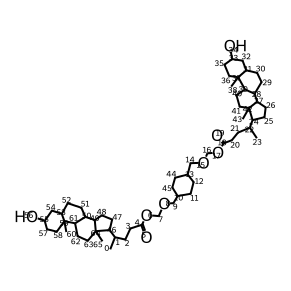 CC(CCC(=O)OCOCC1CCC(COCOC(=O)CCC(C)C2CCC3C4CCC5CC(O)CCC5(C)C4CCC23C)CC1)C1CCC2C3CCC4CC(O)CCC4(C)C3CCC12C